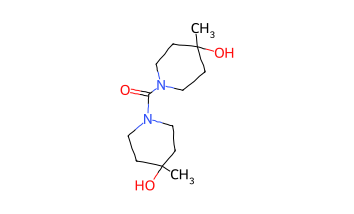 CC1(O)CCN(C(=O)N2CCC(C)(O)CC2)CC1